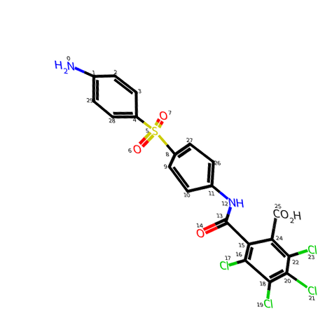 Nc1ccc(S(=O)(=O)c2ccc(NC(=O)c3c(Cl)c(Cl)c(Cl)c(Cl)c3C(=O)O)cc2)cc1